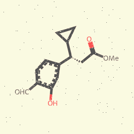 COC(=O)C[C@H](c1ccc(C=O)c(O)c1)C1CC1